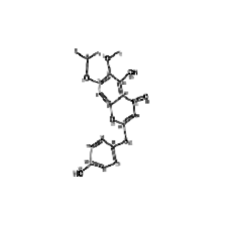 COc1c(OC(C)C)cc2oc(Sc3ccc(O)cc3)cc(=O)c2c1O